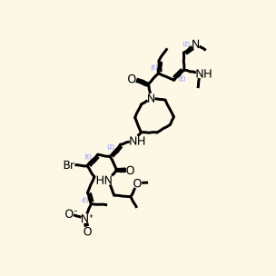 C\C=C(/C=C(\C=N/C)NC)C(=O)N1CCCCC(N/C=C(/C=C(/Br)C/C=C(\C)[N+](=O)[O-])C(=O)NCC(C)OC)CC1